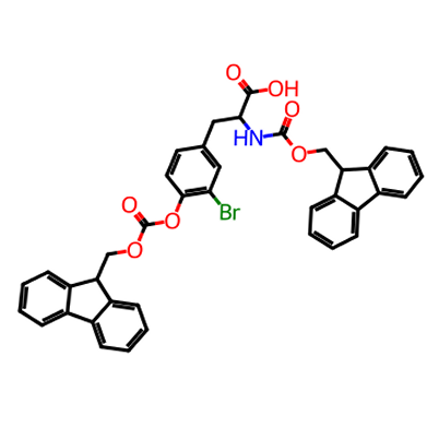 O=C(NC(Cc1ccc(OC(=O)OCC2c3ccccc3-c3ccccc32)c(Br)c1)C(=O)O)OCC1c2ccccc2-c2ccccc21